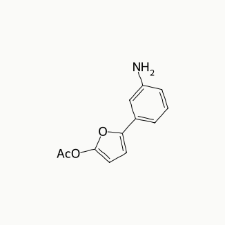 CC(=O)Oc1ccc(-c2cccc(N)c2)o1